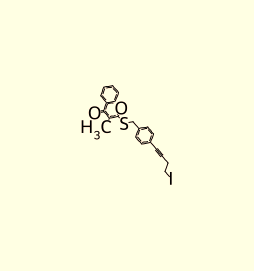 Cc1c(SCc2ccc(C#CCCI)cc2)oc2ccccc2c1=O